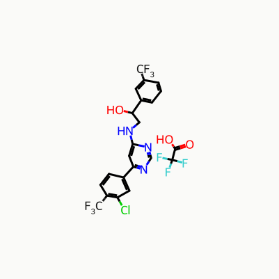 O=C(O)C(F)(F)F.OC(CNc1cc(-c2ccc(C(F)(F)F)c(Cl)c2)ncn1)c1cccc(C(F)(F)F)c1